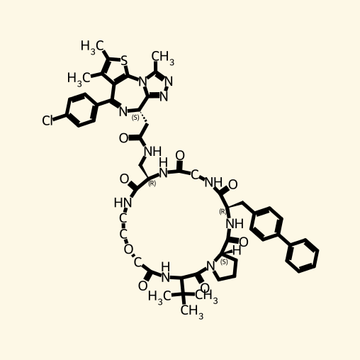 Cc1sc2c(c1C)C(c1ccc(Cl)cc1)=N[C@@H](CC(=O)NC[C@H]1NC(=O)CNC(=O)[C@@H](Cc3ccc(-c4ccccc4)cc3)NC(=O)[C@@H]3CCCN3C(=O)C(C(C)(C)C)NC(=O)COCCNC1=O)c1nnc(C)n1-2